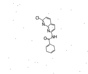 O=C(Nc1ccc2ccc(Cl)nc2n1)C1=CCC=CC1